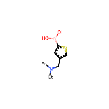 CCN(CC)Cc1csc(B(O)O)c1